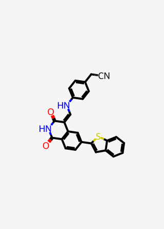 N#CCc1ccc(NC=C2C(=O)NC(=O)c3ccc(-c4cc5ccccc5s4)cc32)cc1